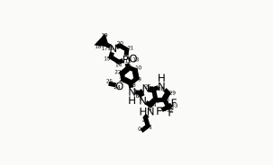 CCCNc1nc(Nc2ccc(P3(=O)CCN(C4CC4)CC3)cc2OC)nc2[nH]cc(C(F)(F)F)c12